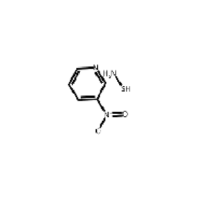 NS.O=[N+]([O-])c1cccnc1